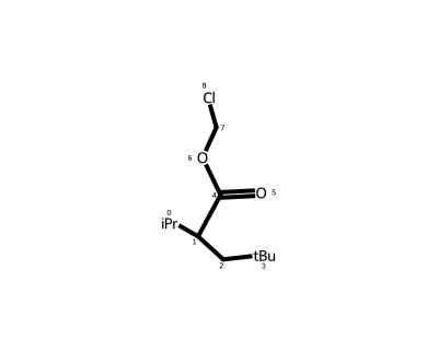 CC(C)C(CC(C)(C)C)C(=O)OCCl